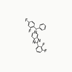 Fc1ccc(C(c2ccccc2)n2ccc3nc(-c4cccc(F)c4F)nc-3c2)c(F)c1